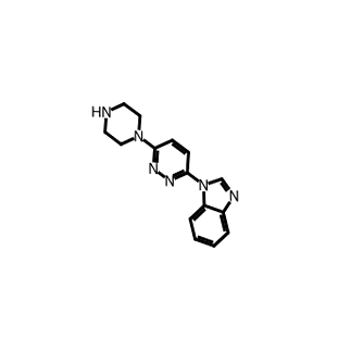 c1ccc2c(c1)ncn2-c1ccc(N2CCNCC2)nn1